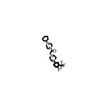 O=C(CN1CCN(c2ccc(F)c(C(F)(F)F)c2)CC1)N1CCN(C2CCCCC2)CC1